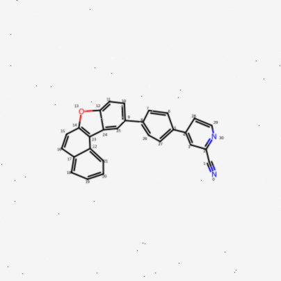 N#Cc1cc(-c2ccc(-c3ccc4oc5ccc6ccccc6c5c4c3)cc2)ccn1